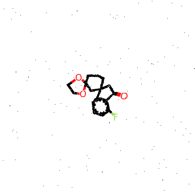 O=C1CC2(CCCC3(C2)OCCO3)c2cccc(F)c21